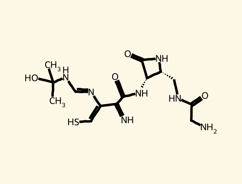 CC(C)(O)N/C=N/C(=C\S)C(=N)C(=O)N[C@@H]1C(=O)N[C@@H]1CNC(=O)CN